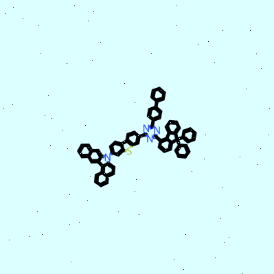 c1ccc(-c2ccc(-c3nc(-c4ccc5c(c4)sc4cc(-n6c7cc8ccccc8cc7c7c8ccccc8ccc76)ccc45)nc(-c4cccc5c4-c4ccccc4C5(c4ccccc4)c4ccccc4)n3)cc2)cc1